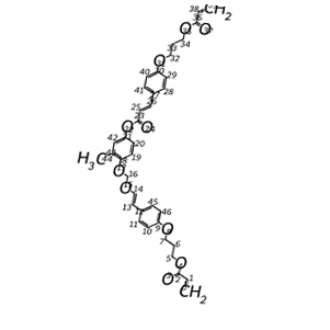 C=CC(=O)OCCCOc1ccc(C=COCOc2ccc(OC(=O)C=Cc3ccc(OCCCOC(=O)C=C)cc3)cc2C)cc1